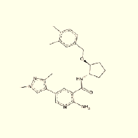 Cc1ccc(CO[C@H]2CCC[C@@H]2NC(=O)c2cc(-c3cn(C)nc3C)cnc2N)cc1C